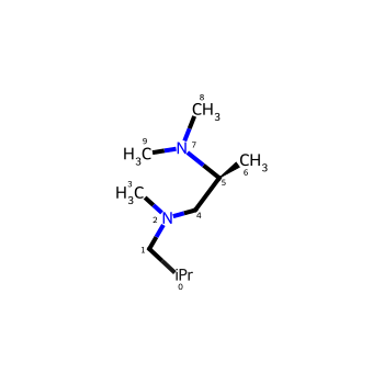 CC(C)CN(C)C[C@H](C)N(C)C